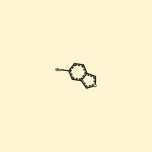 CC(C)(C)c1ccc2cocc2c1